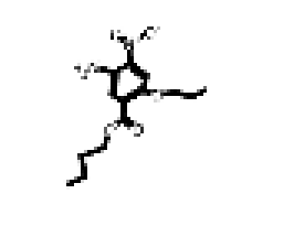 CCCCOC(=O)c1cc(N)c([N+](=O)[O-])cc1OCCC